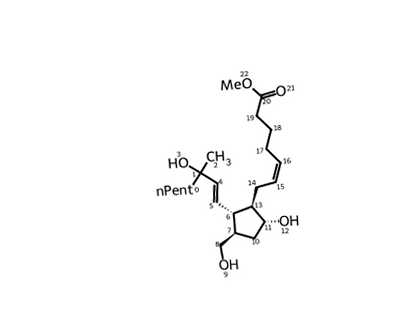 CCCCCC(C)(O)/C=C/[C@H]1[C@H](CO)C[C@@H](O)[C@@H]1C/C=C\CCCC(=O)OC